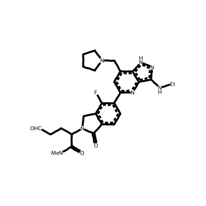 CCNc1n[nH]c2c(CN3CCCC3)cc(-c3ccc4c(c3F)CN(C(CCC=O)C(=O)NC)C4=O)nc12